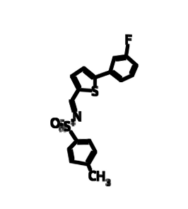 Cc1ccc([S@@+]([O-])N=Cc2ccc(-c3cccc(F)c3)s2)cc1